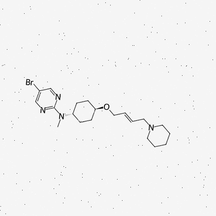 CN(c1ncc(Br)cn1)[C@H]1CC[C@H](OCC=CCN2CCCCC2)CC1